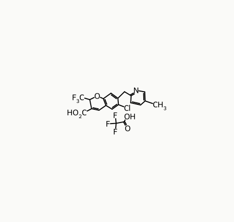 Cc1ccc(Cc2cc3c(cc2Cl)C=C(C(=O)O)C(C(F)(F)F)O3)nc1.O=C(O)C(F)(F)F